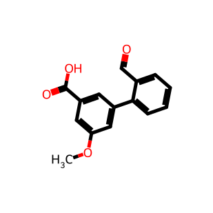 COc1cc(C(=O)O)cc(-c2ccccc2C=O)c1